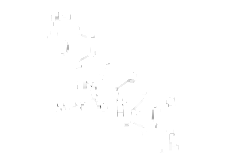 CCCCOc1ccc(CC(NC(=O)NC)C(=O)Nc2ccc(OC(C)C)c(Cl)c2)cc1